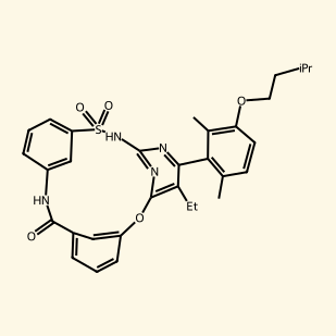 CCc1c2nc(nc1-c1c(C)ccc(OCCC(C)C)c1C)NS(=O)(=O)c1cccc(c1)NC(=O)c1cccc(c1)O2